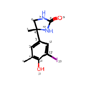 Cc1cc(C2(C)CNC(=O)N2)cc(I)c1O